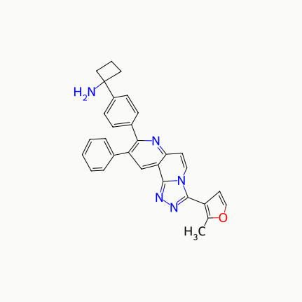 Cc1occc1-c1nnc2c3cc(-c4ccccc4)c(-c4ccc(C5(N)CCC5)cc4)nc3ccn12